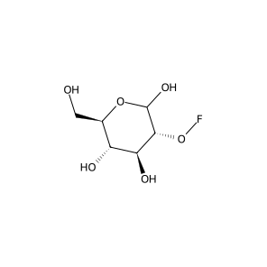 OC[C@H]1OC(O)[C@H](OF)[C@@H](O)[C@@H]1O